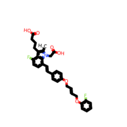 Cc1c(CCCC(=O)O)c2c(F)ccc(C=Cc3ccc(OCC=CCOc4ccccc4F)cc3)c2n1CC(=O)O